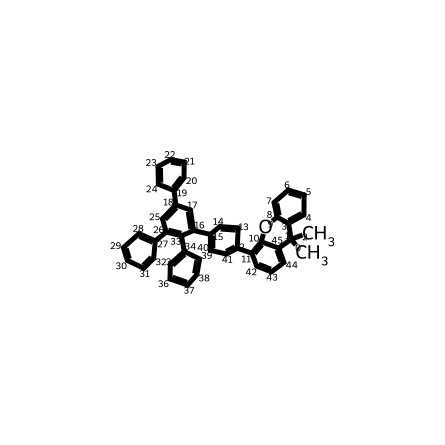 CC1(C)c2ccccc2Oc2c(-c3ccc(-c4cc(-c5ccccc5)cc(-c5ccccc5)c4-c4ccccc4)cc3)cccc21